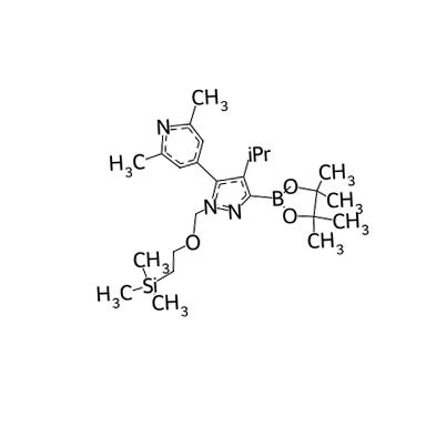 Cc1cc(-c2c(C(C)C)c(B3OC(C)(C)C(C)(C)O3)nn2COCC[Si](C)(C)C)cc(C)n1